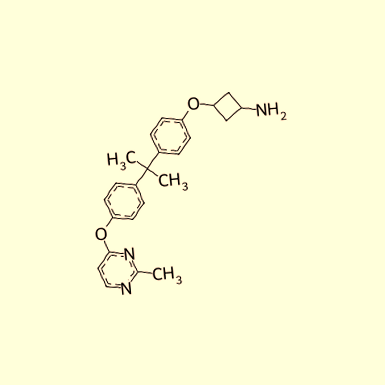 Cc1nccc(Oc2ccc(C(C)(C)c3ccc(OC4CC(N)C4)cc3)cc2)n1